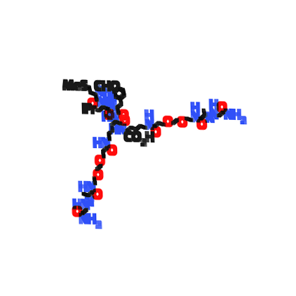 CSCCC(NC=O)C(=O)NC(CC(C)C)C(=O)NC(Cc1ccccc1)C(=O)NC(CCCCNC(=O)CCOCCOCCNC(=O)/C(C)=N/NCC(N)=O)C(=O)NC(CCCCNC(=O)CCOCCOCCNC(=O)/C(C)=N/NCC(N)=O)C(=O)O